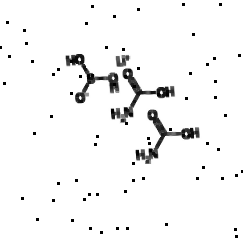 NC(=O)O.NC(=O)O.[Li+].[O-]B(O)O